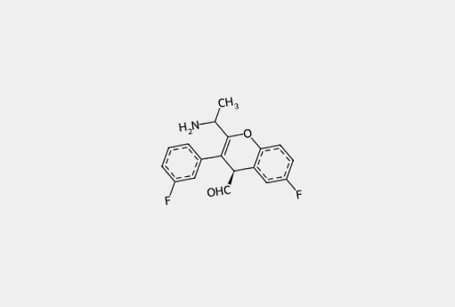 CC(N)C1=C(c2cccc(F)c2)[C@H](C=O)c2cc(F)ccc2O1